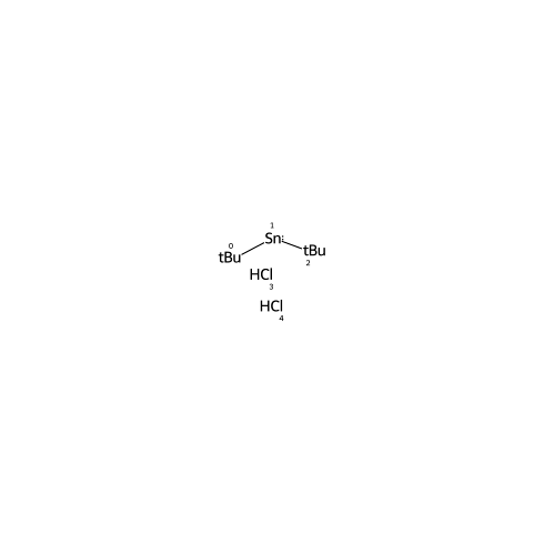 C[C](C)(C)[Sn][C](C)(C)C.Cl.Cl